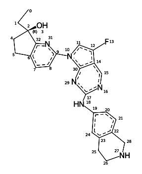 CC[C@@]1(O)CCc2ccc(-n3cc(F)c4cnc(Nc5ccc6c(c5)CCNC6)nc43)nc21